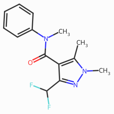 Cc1c(C(=O)N(C)c2ccccc2)c(C(F)F)nn1C